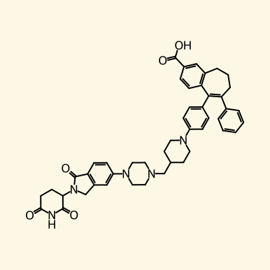 O=C1CCC(N2Cc3cc(N4CCN(CC5CCN(c6ccc(C7=C(c8ccccc8)CCCc8cc(C(=O)O)ccc87)cc6)CC5)CC4)ccc3C2=O)C(=O)N1